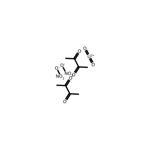 CC(=O)C(C)=O.CC(=O)C(C)=O.O=[N+]([O-])[O-].O=[N+]([O-])[O-].[O]=[U+2]=[O]